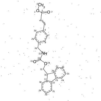 COC(=O)/C=C/c1ccc(CNC(=O)OCC2c3ccccc3-c3ccccc32)cc1